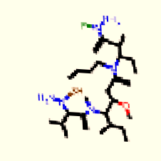 C=C(C(C)C(CC)N(CCCC)C(=C)CC(OC)C(C(C)CC)N(C)C(=C)C(C(C)C)N(N)S)N(N)F